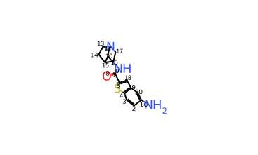 Nc1ccc2sc(C(=O)NC3CN4CCC3CC4)cc2c1